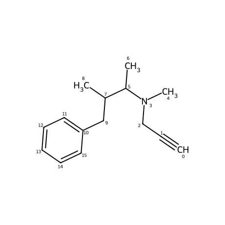 C#CCN(C)C(C)C(C)Cc1ccccc1